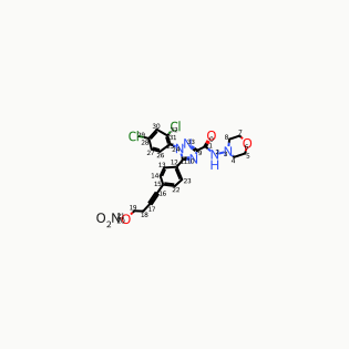 O=C(NN1CCOCC1)c1nc(-c2ccc(C#CCCO[N+](=O)[O-])cc2)n(-c2ccc(Cl)cc2Cl)n1